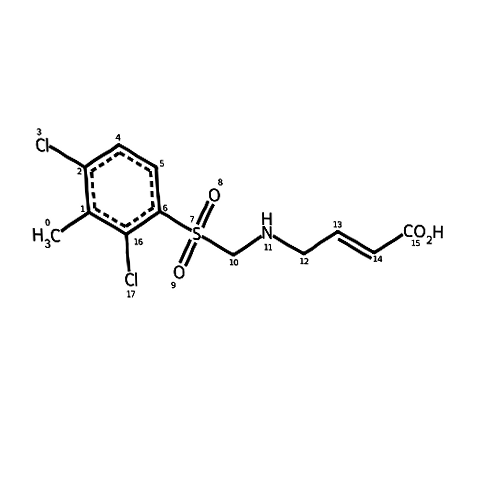 Cc1c(Cl)ccc(S(=O)(=O)CNCC=CC(=O)O)c1Cl